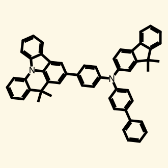 CC1(C)c2ccccc2-c2ccc(N(c3ccc(-c4ccccc4)cc3)c3ccc(-c4cc5c6c(c4)c4ccccc4n6-c4ccccc4C5(C)C)cc3)cc21